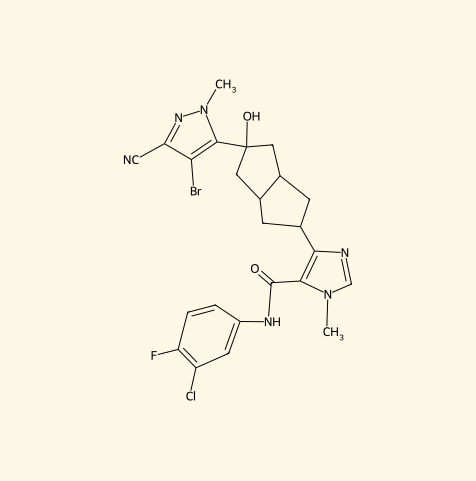 Cn1cnc(C2CC3CC(O)(c4c(Br)c(C#N)nn4C)CC3C2)c1C(=O)Nc1ccc(F)c(Cl)c1